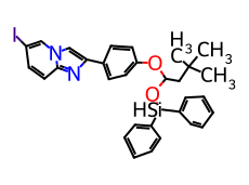 CC(C)(C)CC(Oc1ccc(-c2cn3cc(I)ccc3n2)cc1)O[SiH](c1ccccc1)c1ccccc1